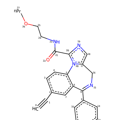 C#Cc1ccc2c(c1)C(c1ccccc1)=NCc1cnc(C(=O)NCCOCCC)n1-2